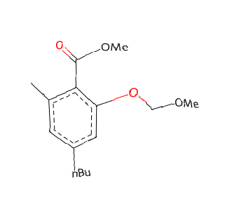 CCCCc1cc(C)c(C(=O)OC)c(OCOC)c1